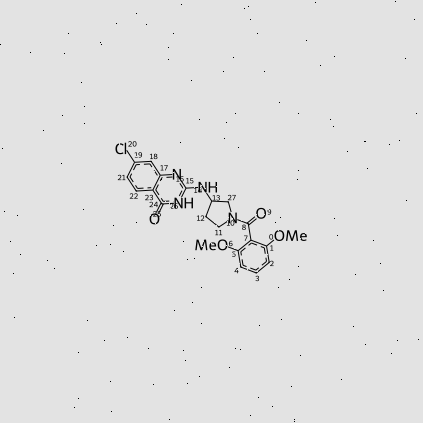 COc1cccc(OC)c1C(=O)N1CCC(Nc2nc3cc(Cl)ccc3c(=O)[nH]2)C1